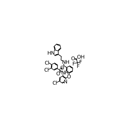 O=C(O)C(F)(F)F.O=S(=O)(Nc1cc(Cl)cnc1Oc1cccc(CNCCc2c[nH]c3ccccc23)c1)c1ccc(Cl)c(Cl)c1